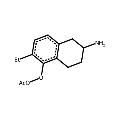 CCc1ccc2c(c1OOC(C)=O)CCC(N)C2